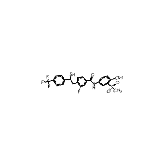 CS(=O)(=O)c1cc(NC(=O)c2ccc(CC(S)c3ccc(C(F)(F)F)cc3)c(F)c2)ccc1O